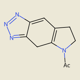 CC(=O)N1CCC2=C1CC1=NN=NC1=C2